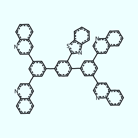 c1ccc2ncc(-c3cc(-c4ccc(-c5cc(-c6cnc7ccccc7c6)cc(-c6cnc7ccccc7c6)c5)c(-c5nc6ccccc6s5)c4)cc(-c4cnc5ccccc5c4)c3)cc2c1